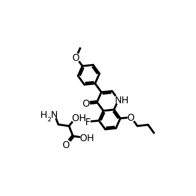 CCCOc1ccc(F)c2c(=O)c(-c3ccc(OC)cc3)c[nH]c12.NCC(O)C(=O)O